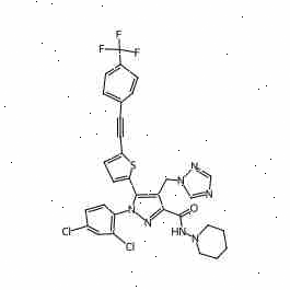 O=C(NN1CCCCC1)c1nn(-c2ccc(Cl)cc2Cl)c(-c2ccc(C#Cc3ccc(C(F)(F)F)cc3)s2)c1Cn1cncn1